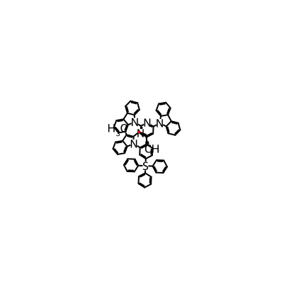 C#C/C=C\c1c(C)c2ccccc2n1-c1cc(S(c2ccccc2)(c2ccccc2)c2ccccc2)ccc1-c1cc(-n2c3ccccc3c3ccccc32)nc(-n2c3ccccc3c3ccccc32)n1